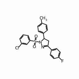 Cc1ccc(C2CC(c3ccc(F)cc3)=NN2S(=O)(=O)c2cccc(Cl)c2)cc1